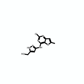 Cc1cc2nc(Cl)nc(Nc3cc(CO)[nH]n3)c2s1